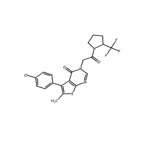 Cc1sc2ncn(CC(=O)N3CCCC3C(F)(F)F)c(=O)c2c1-c1ccc(Cl)cc1